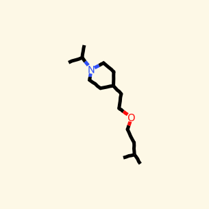 CC(C)CCOCCC1CCN(C(C)C)CC1